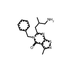 Cc1nsc2nc(CC(C)CN)n(Cc3ccccc3)c(=O)c12